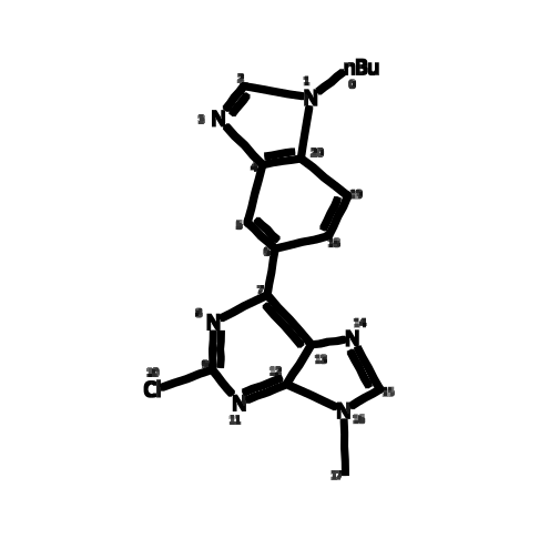 CCCCn1cnc2cc(-c3nc(Cl)nc4c3ncn4C)ccc21